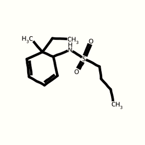 CCCCS(=O)(=O)NC1C=CC=CC1(C)CC